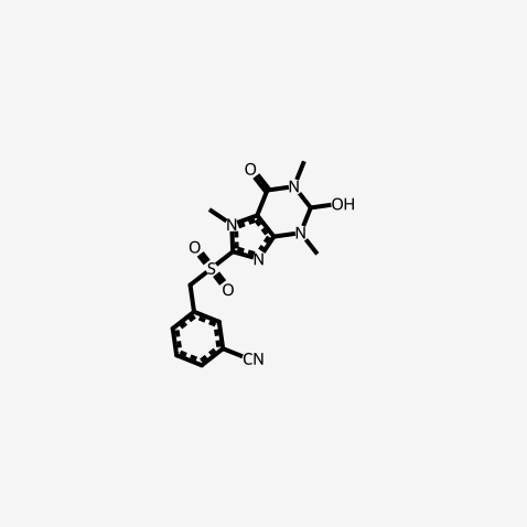 CN1C(=O)c2c(nc(S(=O)(=O)Cc3cccc(C#N)c3)n2C)N(C)C1O